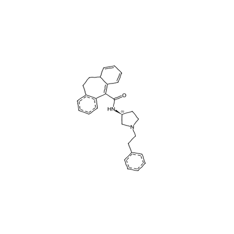 O=C(N[C@H]1CCN(CCc2ccccc2)C1)C1=C2C=CC=CC2CCc2ccccc21